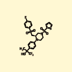 CC(O)(c1ccc(N2CCN(S(=O)(=O)c3cccs3)C[C@@H]2CS(=O)(=O)c2ccc(F)cc2)cc1)C(F)(F)F